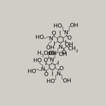 CC(O)C(=O)N(CC(O)C(O)CN(C(=O)C(C)O)c1c(I)c(C(=O)N(CCO)CCO)c(I)c(C(=O)N(CCO)CCO)c1I)c1c(I)c(C(=O)N(CCO)CCO)c(I)c(C(=O)N(CCO)CCO)c1I